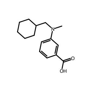 CN(CC1CCCCC1)c1cccc(C(=O)O)c1